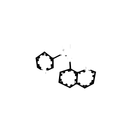 CB(Oc1cccc2cccnc12)c1cccnc1